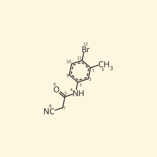 Cc1cc(NC(=O)CC#N)ccc1Br